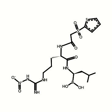 CC(C)C[C@H](NC(=O)[C@H](CCCNC(=N)N[N+](=O)[O-])NC(=O)CS(=O)(=O)c1cccs1)B(O)O